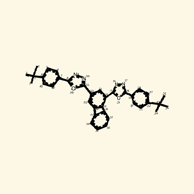 CC(C)(C)c1ccc(-c2nnc(-c3cc(-c4nnc(-c5ccc(C(C)(C)C)cc5)o4)c4c(c3)-c3ccccc3-4)o2)cc1